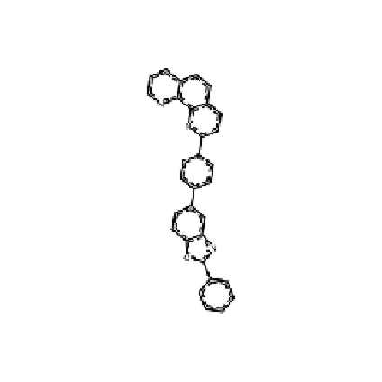 c1ccc(-c2nc3cc(-c4ccc(-c5ccc6ccc7cccnc7c6n5)cc4)ccc3o2)cc1